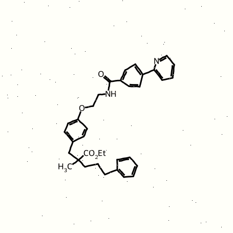 CCOC(=O)C(C)(CCCc1ccccc1)Cc1ccc(OCCNC(=O)c2ccc(-c3ccccn3)cc2)cc1